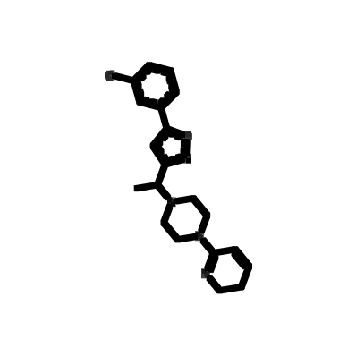 CC(c1cc(-c2cccc(Cl)c2)on1)N1CCN(C2=NCCC=C2)CC1